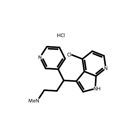 CNCCC(c1cccnc1)c1c[nH]c2nccc(Cl)c12.Cl